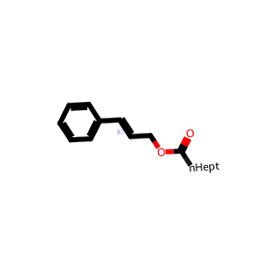 CCCCCCCC(=O)OC/C=C/c1ccccc1